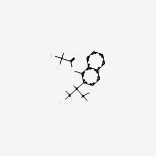 O=C(Nc1c(C(O)(C(F)(F)F)C(F)(F)F)ccc2ccccc12)C(F)(F)F